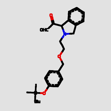 CC(C)(C)[Si](C)(C)Oc1ccc(COCCN2Cc3ccccc3C2C(=O)C=O)cc1